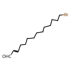 O=C/C=C/CCCCCCCCCCCBr